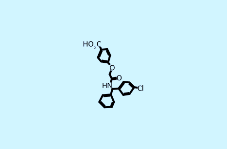 O=C(COc1ccc(C(=O)O)cc1)NC(c1ccccc1)c1ccc(Cl)cc1